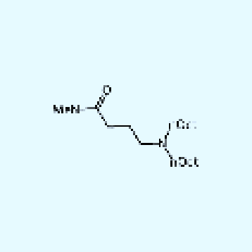 CCCCCCCCN(CCCCCCCC)CCCC(=O)NC